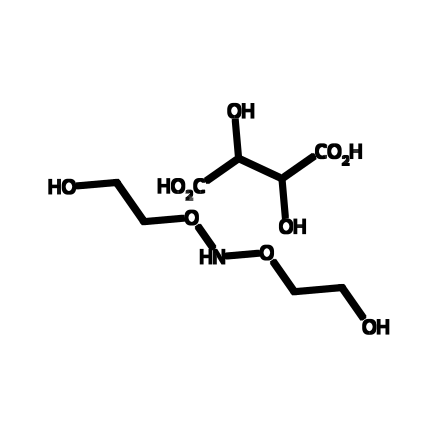 O=C(O)C(O)C(O)C(=O)O.OCCONOCCO